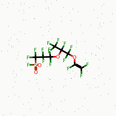 O=S(=O)(F)C(F)(F)C(F)(F)C(F)(F)OC(F)(C(F)(F)F)C(F)(F)OC(F)=C(F)F